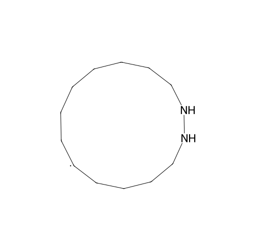 [CH]1CCCCCCCNNCCCC1